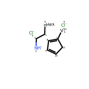 CCCCCCCC[NH-].[Cl-].[Cl-].[V+3][C]1=CC=CC1